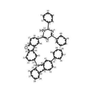 c1ccc(C2=NC(c3ccccc3)NC(c3ccc4oc5ccc(-n6c7ccccc7c7ccc(-c8ccccc8)cc76)cc5c4c3)=N2)cc1